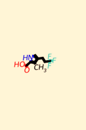 Cc1c(CCC(F)(F)F)c[nH]c1C(=O)O